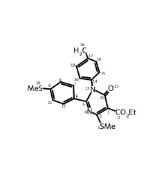 CCOC(=O)c1c(SC)nc(-c2ccc(SC)cc2)n(-c2ccc(C)cc2)c1=O